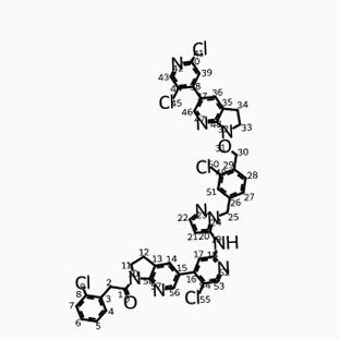 O=C(Cc1ccccc1Cl)N1CCc2cc(-c3cc(Nc4ccnn4Cc4ccc(CON5CCc6cc(-c7cc(Cl)ncc7Cl)cnc65)c(Cl)c4)ncc3Cl)cnc21